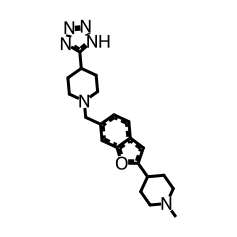 CN1CCC(c2cc3ccc(CN4CCC(c5nnn[nH]5)CC4)cc3o2)CC1